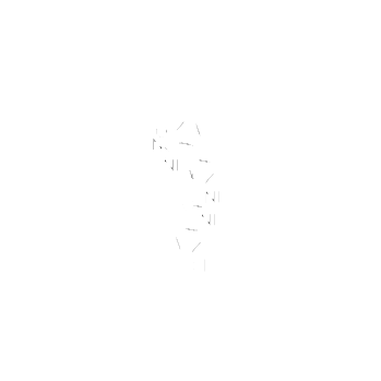 Cc1ccc(-c2ccc(NC(=O)Nc3cccc(Cl)c3)cc2)c2c(N)noc12